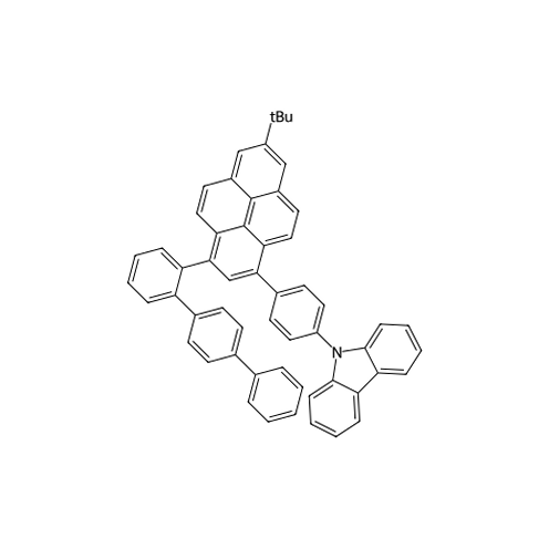 CC(C)(C)c1cc2ccc3c(-c4ccc(-n5c6ccccc6c6ccccc65)cc4)cc(-c4ccccc4-c4ccc(-c5ccccc5)cc4)c4ccc(c1)c2c34